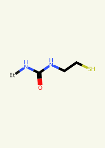 CCNC(=O)NCCS